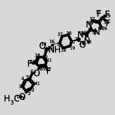 COc1ccc(COc2c(F)cc(C(=O)NC[C@H]3CC[C@H](c4nc(-c5ncc(C(F)(F)F)cn5)no4)CC3)cc2F)cc1